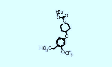 CC(C)(C)OC(=O)N1CCC(Oc2ccc(CC(=O)O)c(OC(F)(F)F)c2)CC1